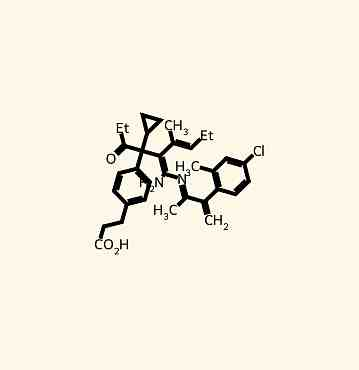 C=C(/C(C)=N/C(N)=C(\C(C)=C\CC)C(C(=O)CC)(c1ccc(CCC(=O)O)cc1)C1CC1)c1ccc(Cl)cc1C